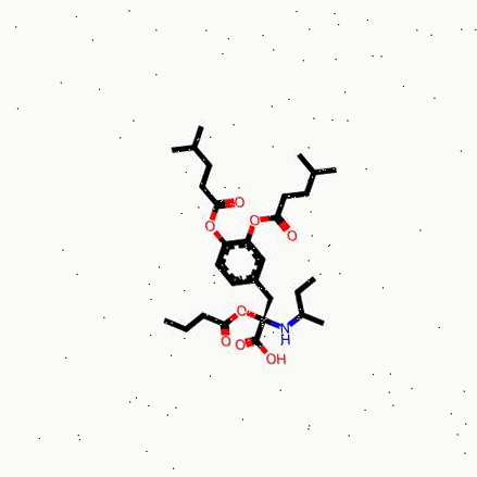 CCCC(=O)O[C@](Cc1ccc(OC(=O)CCC(C)C)c(OC(=O)CCC(C)C)c1)(NC(C)CC)C(=O)O